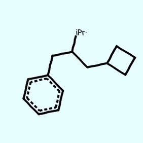 C[C](C)C(Cc1ccccc1)CC1CCC1